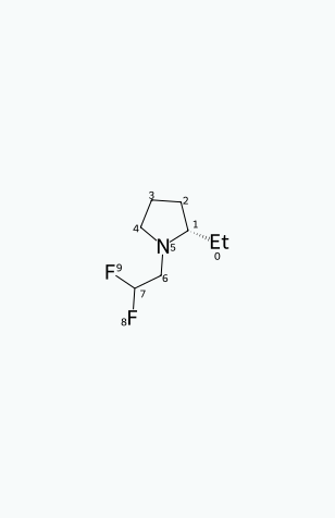 CC[C@H]1CCCN1CC(F)F